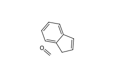 C1=Cc2ccccc2C1.C=O